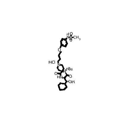 CCCCN1C(=O)[C@@H]([C@H](O)C2CCCCC2)NC(=O)C12CCN(CCCCOc1ccc(NS(C)(=O)=O)cc1)CC2.Cl